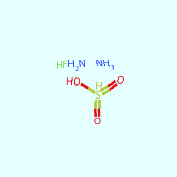 F.N.N.O=[SH](=O)O